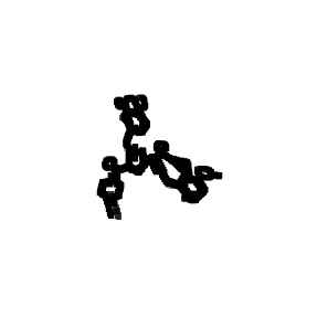 COc1cccc(CN(C(=O)C2CC2)C2CC(C(=O)N3CCNCC3)N(Cc3ccc4c(c3)OCO4)C2)c1